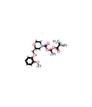 CCOc1ccccc1OC[C@@H]1CN(C(=O)OC(OC(=O)[C@@H](C)C(C)C)C(C)C)CCO1